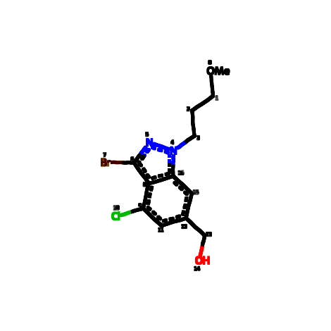 COCCCn1nc(Br)c2c(Cl)cc(CO)cc21